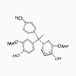 COc1cc(C(C)(c2ccc(O)cc2)c2ccc(O)c(OC)c2)ccc1O